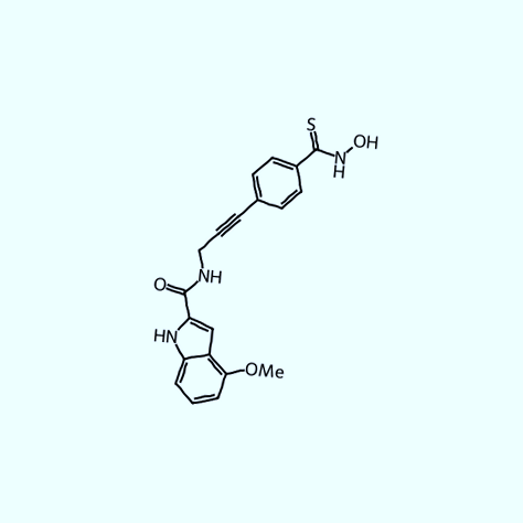 COc1cccc2[nH]c(C(=O)NCC#Cc3ccc(C(=S)NO)cc3)cc12